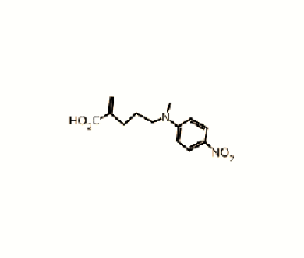 C=C(CCCN(C)c1ccc([N+](=O)[O-])cc1)C(=O)O